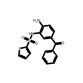 Nc1ccc(C(=O)c2ccccc2)cc1NS(=O)(=O)c1cccs1